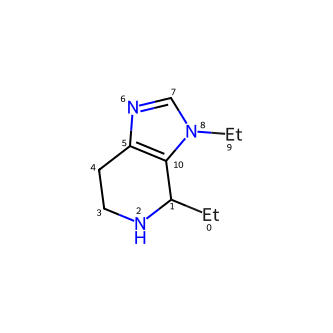 CCC1NCCc2ncn(CC)c21